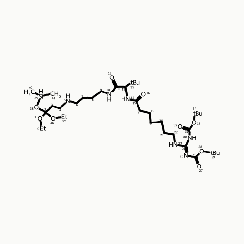 CCOC(CCNCCCCNC(=O)C(NC(=O)CCCCCCNC(=NC(=O)OC(C)(C)C)NC(=O)OC(C)(C)C)C(C)(C)C)(OCC)O[SiH](C)C